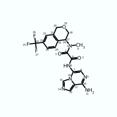 CN(C(=O)C(=O)Nc1cnc(N)c2cncn12)[C@@H]1COCc2cc(C(F)(F)F)ccc21